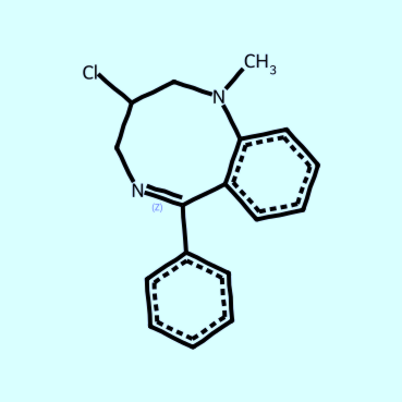 CN1CC(Cl)C/N=C(/c2ccccc2)c2ccccc21